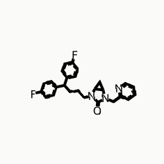 O=C1N(CCCC(c2ccc(F)cc2)c2ccc(F)cc2)C2CC2N1Cc1ccccn1